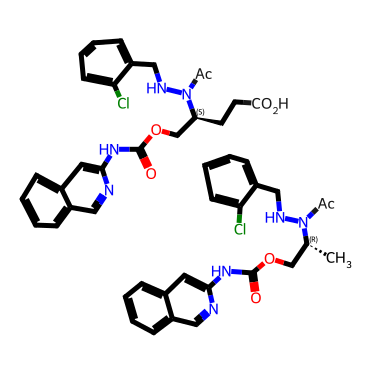 CC(=O)N(NCc1ccccc1Cl)[C@@H](CCC(=O)O)COC(=O)Nc1cc2ccccc2cn1.CC(=O)N(NCc1ccccc1Cl)[C@H](C)COC(=O)Nc1cc2ccccc2cn1